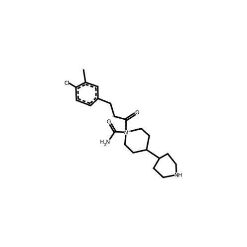 Cc1cc(C[CH]C(=O)[N+]2(C(N)=O)CCC(C3CCNCC3)CC2)ccc1Cl